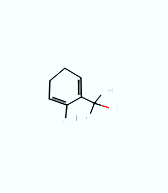 CC1=CCCC=C1C(C)(C)O